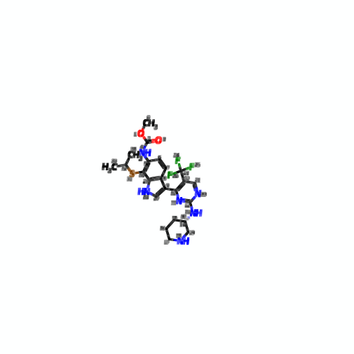 COC(=O)Nc1ccc2c(-c3nc(N[C@H]4CCCNC4)ncc3C(F)(F)F)c[nH]c2c1SC(C)C